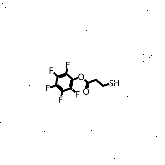 O=C(CCS)Oc1c(F)c(F)c(F)c(F)c1F